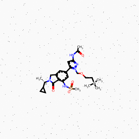 CC(=O)Nc1cc(-c2cc3c(c(NS(C)(=O)=O)c2)C(=O)N([C@@H](C)C2CC2)C3)n(COCC[Si](C)(C)C)n1